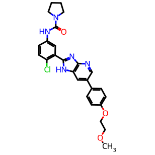 COCCOc1ccc(-c2cnc3nc(-c4cc(NC(=O)N5CCCC5)ccc4Cl)[nH]c3c2)cc1